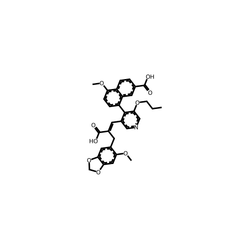 CCCOc1cncc(/C=C(\Cc2cc3c(cc2OC)OCO3)C(=O)O)c1-c1ccc(OC)c2ccc(C(=O)O)cc12